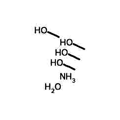 CO.CO.CO.CO.N.O